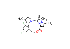 C=C1C[n+]2ccc(C)cc2-c2c(F)cc(F)cc2CCOC(=O)c2cc(C)n(C)[n+]21